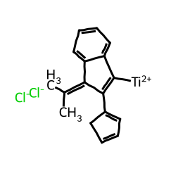 CC(C)=C1C(C2=CC=CC2)=[C]([Ti+2])c2ccccc21.[Cl-].[Cl-]